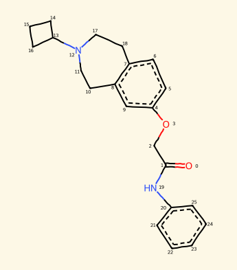 O=C(COc1ccc2c(c1)CCN(C1CCC1)CC2)Nc1ccccc1